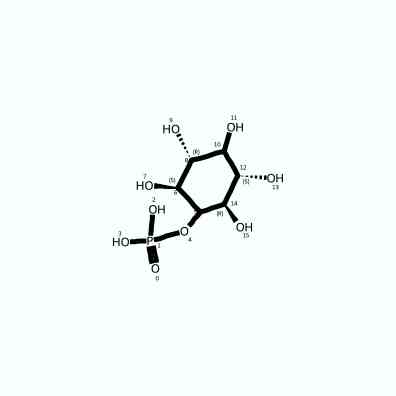 O=P(O)(O)OC1[C@@H](O)[C@H](O)C(O)[C@H](O)[C@H]1O